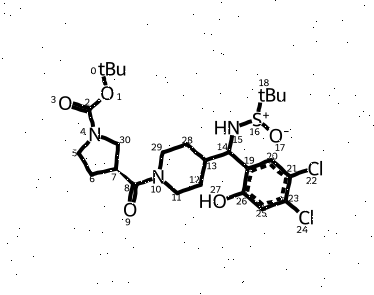 CC(C)(C)OC(=O)N1CC[C@H](C(=O)N2CCC(C(N[S+]([O-])C(C)(C)C)c3cc(Cl)c(Cl)cc3O)CC2)C1